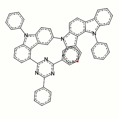 c1ccc(-c2nc(-c3ccccc3)nc(-c3cccc4c3c3cc(-n5c6ccccc6c6c5ccc5c7ccccc7n(-c7ccccc7)c56)ccc3n4-c3ccccc3)n2)cc1